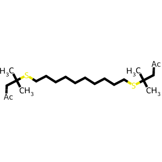 CC(=O)CC(C)(C)SCCCCCCCCCCSC(C)(C)CC(C)=O